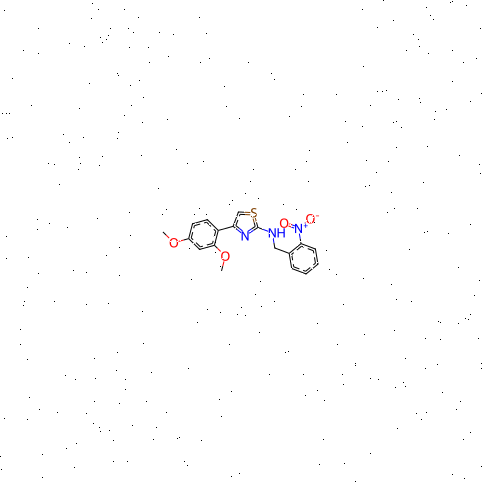 COc1ccc(-c2csc(NCc3ccccc3[N+](=O)[O-])n2)c(OC)c1